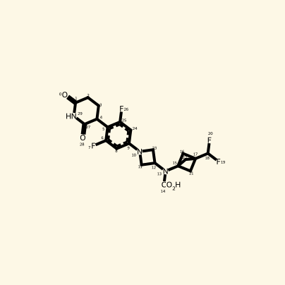 O=C1CCC(c2c(F)cc(N3CC(N(C(=O)O)C45CC(C(F)F)(C4)C5)C3)cc2F)C(=O)N1